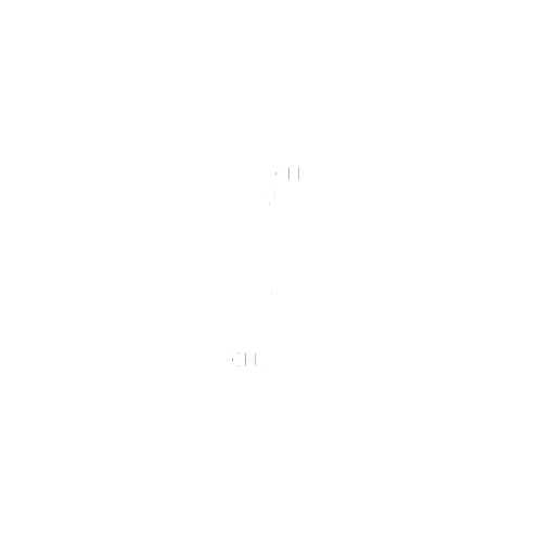 CCCCCCC[C@H]1CC[C@H]([C@H]2CC[C@H](OCC)CC2)CC1